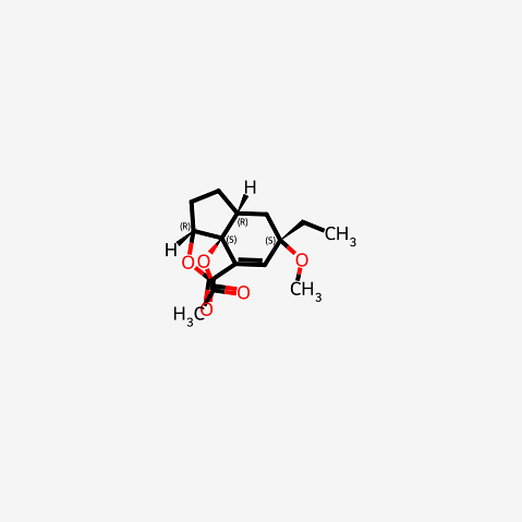 CC[C@@]1(OC)C=C2C(=O)O[C@@H]3CC[C@H](C1)[C@]23OC(C)=O